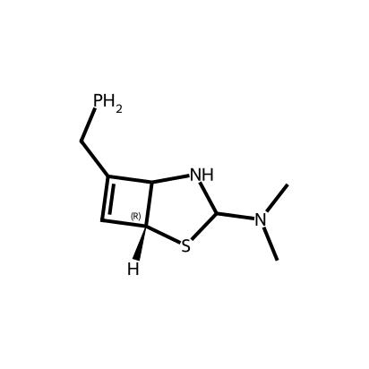 CN(C)C1NC2C(CP)=C[C@H]2S1